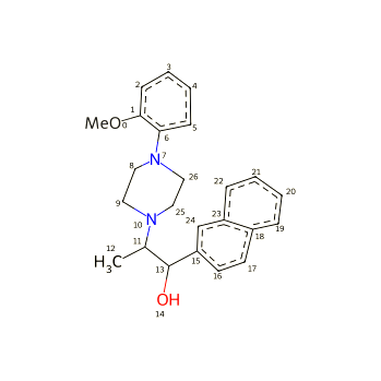 COc1ccccc1N1CCN(C(C)C(O)c2ccc3ccccc3c2)CC1